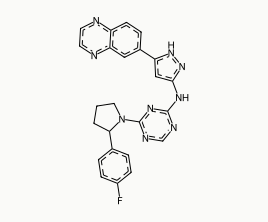 Fc1ccc(C2CCCN2c2ncnc(Nc3cc(-c4ccc5nccnc5c4)[nH]n3)n2)cc1